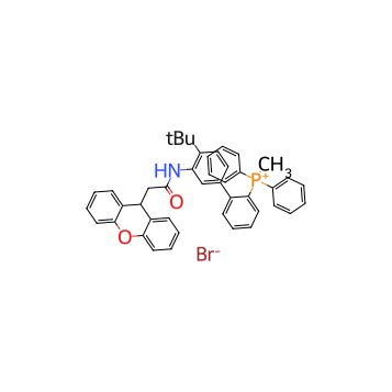 CC(C)(C)c1ccc(-c2ccccc2[P+](C)(c2ccccc2)c2ccccc2)cc1NC(=O)CC1c2ccccc2Oc2ccccc21.[Br-]